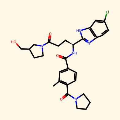 Cc1cc(C(=O)N[C@@H](CCC(=O)N2CCC(CO)C2)c2nc3ccc(Cl)cc3[nH]2)ccc1C(=O)N1CCCC1